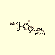 CCCCCC(C)c1nc2c(F)cc(C(=O)OC)cc2s1